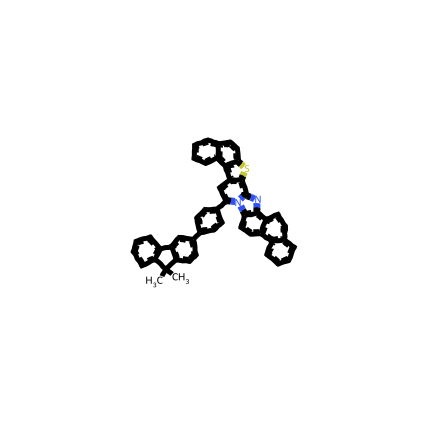 CC1(C)c2ccccc2-c2cc(-c3ccc(-c4cc5c(sc6ccc7ccccc7c65)c5nc6c7ccc8ccccc8c7ccc6n45)cc3)ccc21